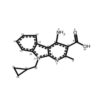 Cc1nc2c(c(N)c1C(=O)O)c1ccccc1n2CC1CC1